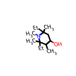 CCC1(C)CC(O)C(C)C(C)(CC)N1C